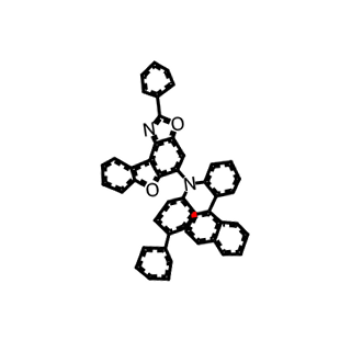 c1ccc(-c2ccc(N(c3ccccc3-c3cccc4ccccc34)c3cc4oc(-c5ccccc5)nc4c4c3oc3ccccc34)cc2)cc1